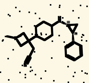 CN1CC(CC#N)(N2CCC(N[C@@H]3C[C@@H]3c3ccccc3)CC2)C1